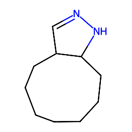 C1=NNC2CCCCCCCC12